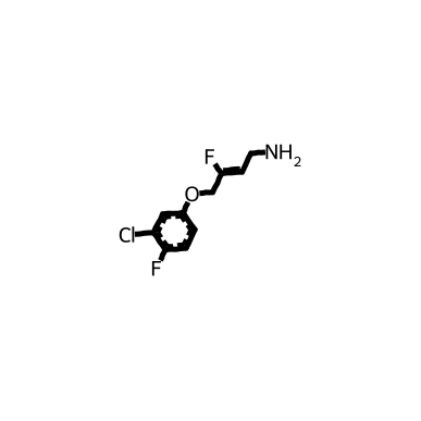 NCC=C(F)COc1ccc(F)c(Cl)c1